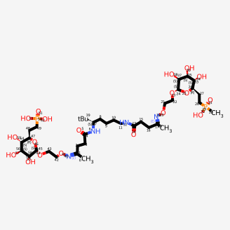 C/C(CCC(=O)N[C@@H](CCCCNC(=O)CC/C(C)=N/OCCO[C@H]1O[C@H](CCP(C)(=O)O)[C@@H](O)[C@H](O)[C@@H]1O)C(C)(C)C)=N/OCCO[C@H]1O[C@H](CCP(=O)(O)O)[C@@H](O)[C@H](O)[C@@H]1O